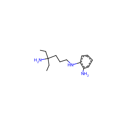 CCC(N)(CC)CCCNc1ccccc1N